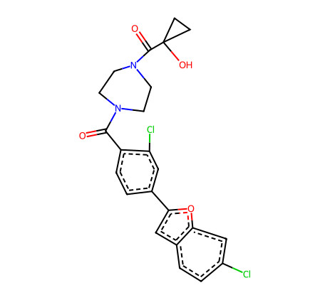 O=C(c1ccc(-c2cc3ccc(Cl)cc3o2)cc1Cl)N1CCN(C(=O)C2(O)CC2)CC1